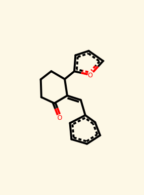 O=C1CCCC(c2ccco2)C1=Cc1ccccc1